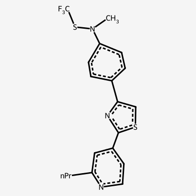 CCCc1cc(-c2nc(-c3ccc(N(C)SC(F)(F)F)cc3)cs2)ccn1